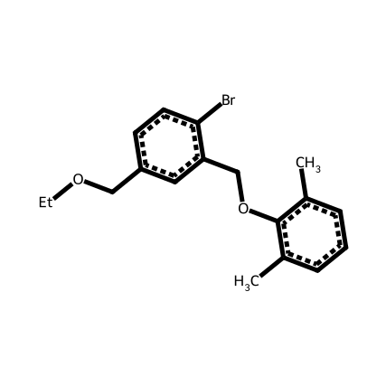 CCOCc1ccc(Br)c(COc2c(C)cccc2C)c1